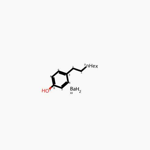 CCCCCCCCc1ccc(O)cc1.[BaH2]